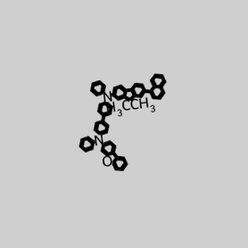 CC1(C)c2cc(-c3cccc4ccccc34)ccc2-c2ccc(N(c3ccccc3)c3ccc(-c4ccc(N(c5ccccc5)c5ccc6c(c5)oc5ccccc56)cc4)cc3)cc21